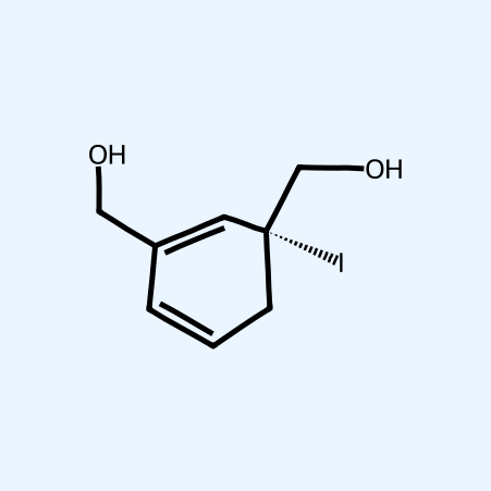 OCC1=C[C@@](I)(CO)CC=C1